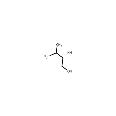 CC(C)CCO.[KH]